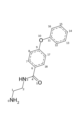 NCCNC(=O)c1ccc(Oc2ccccc2)cc1